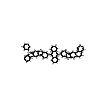 c1ccc(-n2c3ccccc3c3cc4c(cc32)sc2cc(-c3c5ccccc5c(-c5ccc6c(c5)sc5cc7ccc8ccccc8c7cc56)c5ccccc35)ccc24)cc1